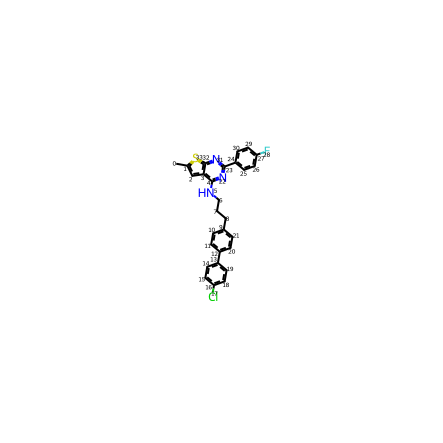 Cc1cc2c(NCCCc3ccc(-c4ccc(Cl)cc4)cc3)nc(-c3ccc(F)cc3)nc2s1